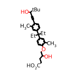 CCC(CC)(c1ccc(C#CC(O)C(C)(C)C)c(C)c1)c1ccc(OCC(O)CCC(=O)O)c(C)c1